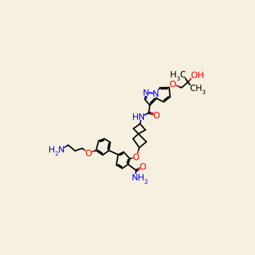 CC(C)(O)COc1ccc2c(C(=O)NC3CC4(C3)CC(Oc3cc(-c5cccc(OCCCN)c5)ccc3C(N)=O)C4)cnn2c1